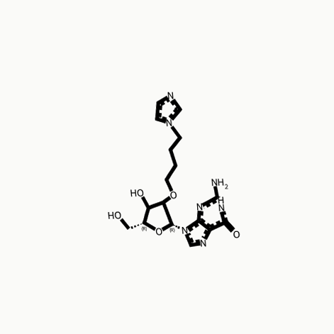 Nc1nc2c(ncn2[C@@H]2O[C@H](CO)C(O)C2OCCCCn2ccnc2)c(=O)[nH]1